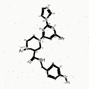 CCOc1ccc(CNC(=O)C2CN(c3cc(C(C)C)nc(-n4ccnc4)n3)CCN2C(C)=O)cc1